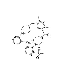 Cc1cc(C)c(C(=O)N2CCN(c3cccnc3S(C)(=O)=O)CC2)cc1CN1CCN(c2ccccc2C#N)CC1